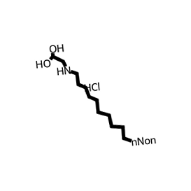 CCCCCCCCCCCCCCCCCCCNCC(O)O.Cl